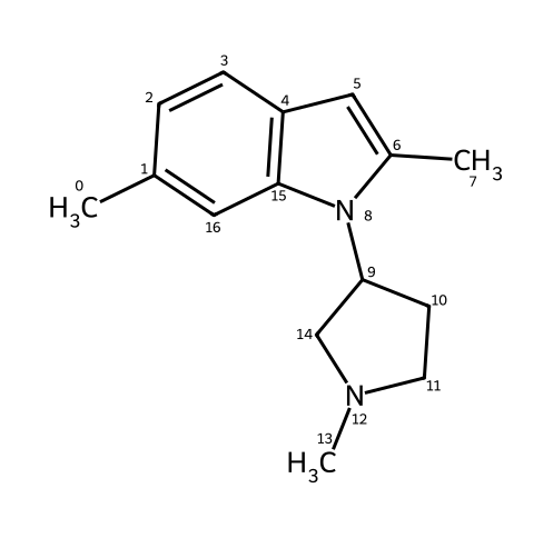 Cc1ccc2cc(C)n(C3CCN(C)C3)c2c1